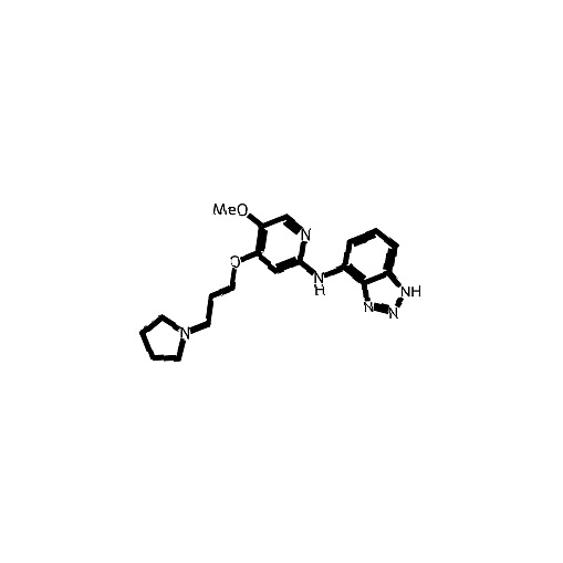 COc1cnc(Nc2cccc3[nH]nnc23)cc1OCCCN1CCCC1